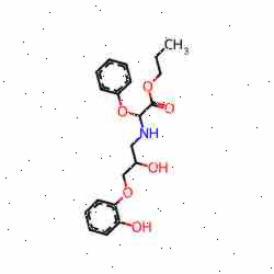 CCCOC(=O)C(NCC(O)COc1ccccc1O)Oc1ccccc1